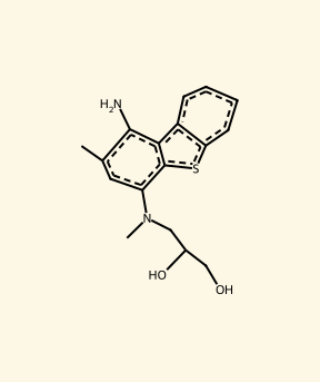 Cc1cc(N(C)CC(O)CO)c2sc3ccccc3c2c1N